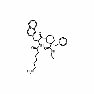 CCNC(=O)[C@]1(Cc2ccccc2)CCCN(C(=O)C(Cc2ccc3ccccc3c2)NC(=O)CCCCCN)C1